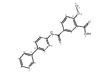 COC(=O)c1cc(C(=O)Nc2ccc(-c3cccnc3)cn2)ccc1OC(F)(F)F